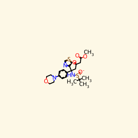 COC(=O)CC(=O)CC(N[S+]([O-])C(C)(C)C)(c1ccc(N2CCOCC2)cc1)c1cscn1